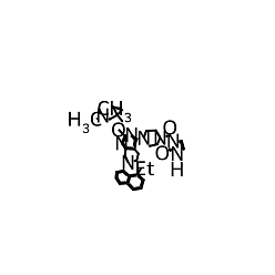 CCc1cccc2cccc(N3CCc4c(nc(OCC5(CN(C)C)CC5)nc4N4CCN(C(=O)n5cc[nH]c5=O)CC4)C3)c12